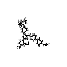 CC(C)Cc1ccc(-c2ccc(Cc3nc(-c4ccc(Cl)cc4Cl)cn3-c3ccc(N4CC(=O)NS4(=O)=O)cc3)cc2)cc1